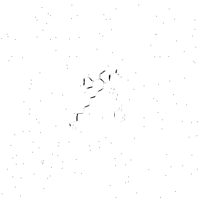 C=CC=CCC=CC=CC=C(C)c1c(-c2ccccc2)ccc(C(N)=O)c1OCCCCN1CCOCC1